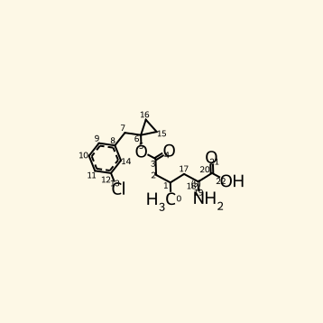 CC(CC(=O)OC1(Cc2cccc(Cl)c2)CC1)C[C@H](N)C(=O)O